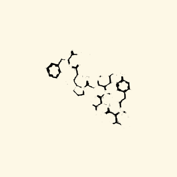 CC[C@H](C)C([C@@H](CC(=O)N1CCC[C@H]1[C@H](OC)[C@@H](C)C(=O)N[C@@H](Cc1ccccc1)C(=O)OC)OC)N(C)C(=O)[C@@H](NC(=O)C(C(C)C)N(C)CCc1ccc(N)cc1)C(C)C